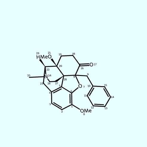 COc1ccc2c3c1OC1(Cc4ccccc4)C(=O)CC[C@@]4(OC)[C@@H](C2)N(C)CC[C@]314